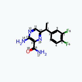 CC(c1ccc(F)c(F)c1)c1cnc(N)c(C(N)=O)n1